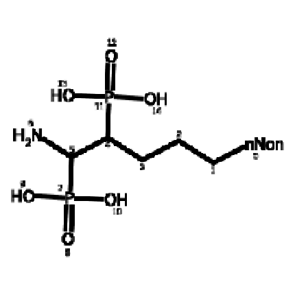 CCCCCCCCCCCCC(C(N)P(=O)(O)O)P(=O)(O)O